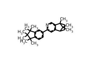 CC1(C)c2ccc(-c3cc4c(cn3)C3(C)CCC4C3(C)C)cc2C(C)(C)C1(C)C